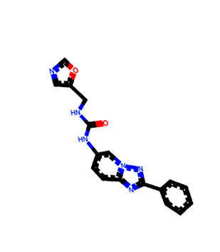 O=C(NCc1cnco1)Nc1ccc2nc(-c3ccccc3)nn2c1